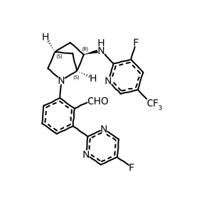 O=Cc1c(-c2ncc(F)cn2)cccc1N1C[C@H]2C[C@@H](Nc3ncc(C(F)(F)F)cc3F)[C@@H]1C2